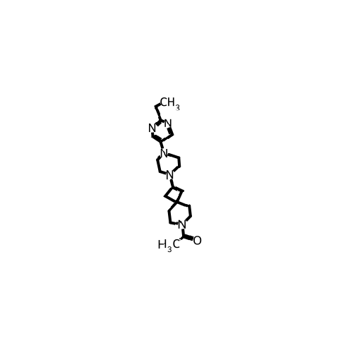 CCc1ncc(N2CCN(C3CC4(CCN(C(C)=O)CC4)C3)CC2)cn1